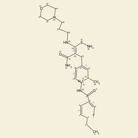 CCC/C=C\C(=C/F)C(=O)NC/C=C\C(=C/C(C)C)C/C(C(N)=O)=C(/NCCCN1CCOCC1)SN